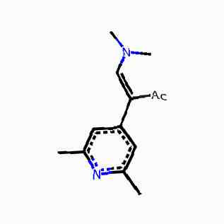 CC(=O)C(=CN(C)C)c1cc(C)nc(C)c1